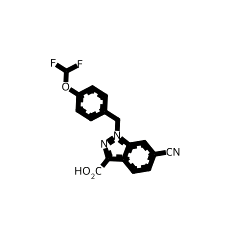 N#Cc1ccc2c(C(=O)O)nn(Cc3ccc(OC(F)F)cc3)c2c1